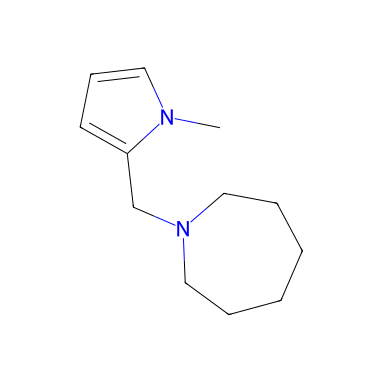 Cn1cccc1CN1CCCCCC1